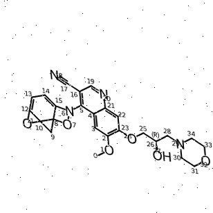 COc1cc2c(N3OC45CC46OC6=CC=C35)c(C#N)cnc2cc1OC[C@H](O)CN1CCOCC1